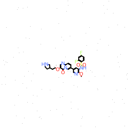 COc1ncc(-c2ccc3ncc(OCCC4CCNC4)c(=O)n3c2)cc1NS(=O)(=O)c1ccc(F)cc1F